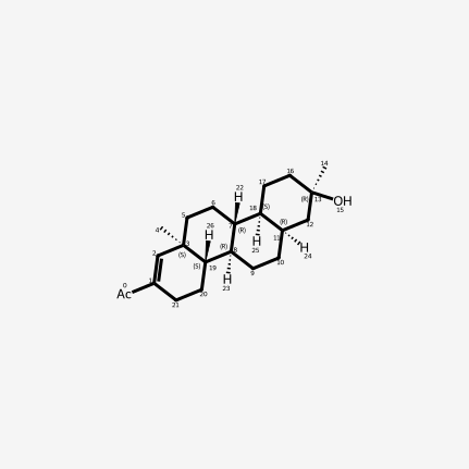 CC(=O)C1=C[C@@]2(C)CC[C@H]3[C@@H](CC[C@@H]4C[C@](C)(O)CC[C@@H]43)[C@@H]2CC1